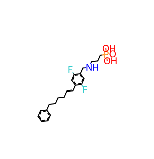 O=P(O)(O)CCCNCc1cc(F)c(/C=C/CCCCc2ccccc2)cc1F